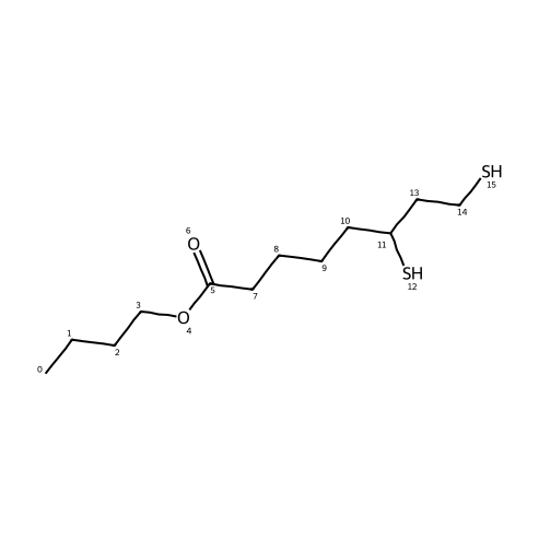 CCCCOC(=O)CCCCC(S)CCS